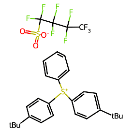 CC(C)(C)c1ccc([S+](c2ccccc2)c2ccc(C(C)(C)C)cc2)cc1.O=S(=O)([O-])C(F)(F)C(F)(F)C(F)(F)C(F)(F)F